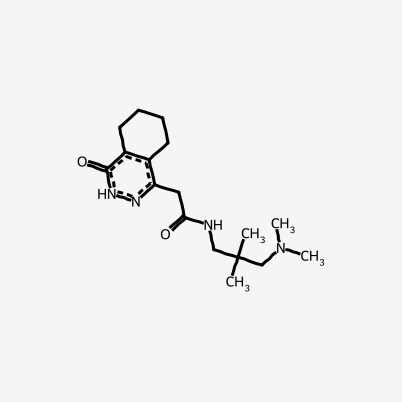 CN(C)CC(C)(C)CNC(=O)Cc1n[nH]c(=O)c2c1CCCC2